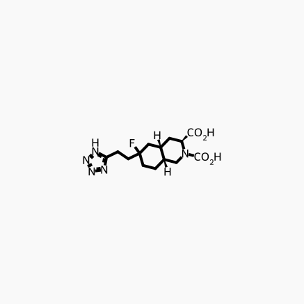 O=C(O)[C@@H]1C[C@H]2CC(F)(CCc3nnn[nH]3)CC[C@H]2CN1C(=O)O